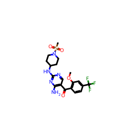 COc1cc(C(F)(F)F)ccc1C(=O)c1cnc(NC2CCN(S(C)(=O)=O)CC2)nc1N